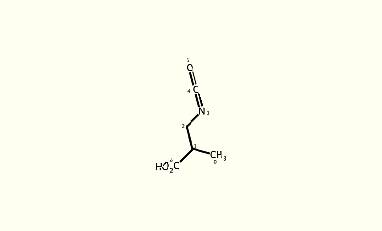 CC(CN=C=O)C(=O)O